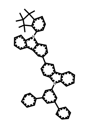 CC1(C)c2cccc(-n3c4ccccc4c4cc(-c5ccc6c(c5)c5ccccc5n6-c5cc(-c6ccccc6)cc(-c6ccccc6)c5)ccc43)c2C(C)(C)C1(C)C